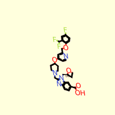 O=C(O)c1ccc2nc(CN3CCC(Oc4ccnc(COc5ccc(F)cc5C(F)F)c4)CC3)n(C[C@@H]3CCO3)c2c1